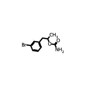 CC(Cc1cccc(Br)c1)OC(N)=O